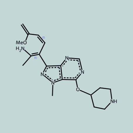 C=C(/C=C\C(=C(\C)N)c1nn(C)c2c(OC3CCNCC3)ncnc12)OC